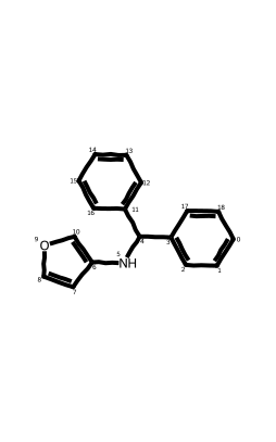 c1ccc(C(Nc2ccoc2)c2ccccc2)cc1